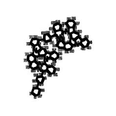 c1ccc(-c2ccc(-c3nnc(-n4c5ccccc5c5cc6c7c(-c8ccc(-c9nnc(-n%10c%11ccccc%11c%11cc%12c%13ccccc%13n%13c%14ccc%15ccccc%15c%14c(c%11%10)c%12%13)c%10ccccc9%10)cc8)cccc7n7c8ccc9ccccc9c8c(c54)c67)c4ccccc34)cc2)cc1